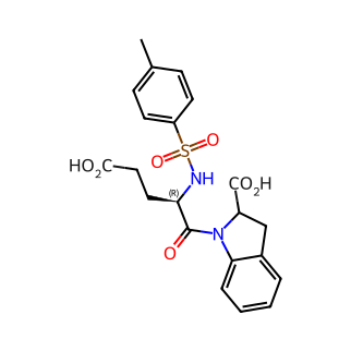 Cc1ccc(S(=O)(=O)N[C@H](CCC(=O)O)C(=O)N2c3ccccc3CC2C(=O)O)cc1